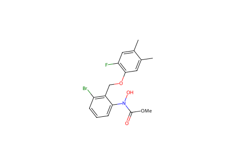 COC(=O)N(O)c1cccc(Br)c1COc1cc(C)c(C)cc1F